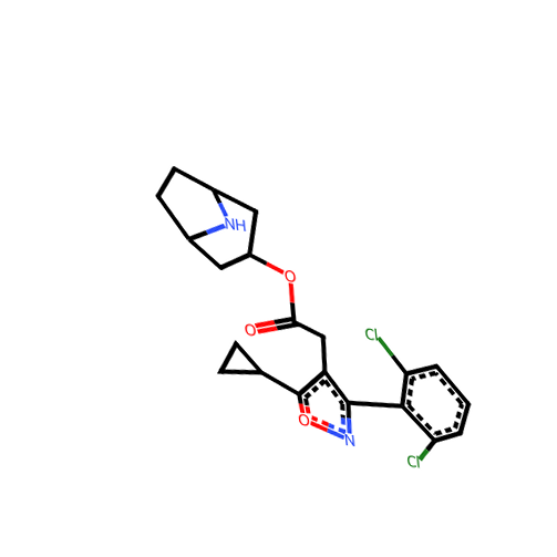 O=C(Cc1c(-c2c(Cl)cccc2Cl)noc1C1CC1)OC1CC2CCC(C1)N2